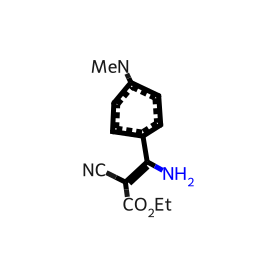 CCOC(=O)/C(C#N)=C(\N)c1ccc(NC)cc1